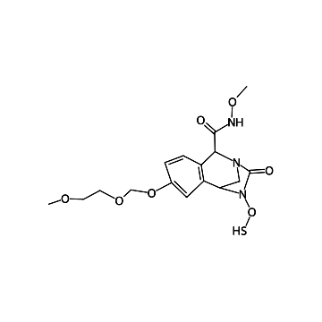 COCCOCOc1ccc2c(c1)C1CN(C(=O)N1OS)C2C(=O)NOC